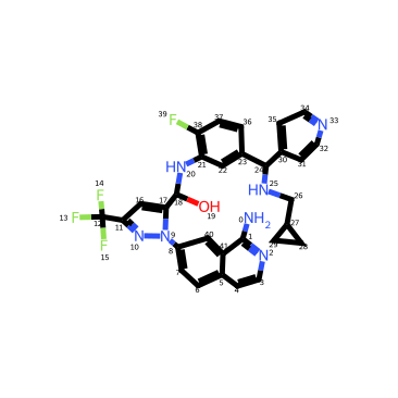 Nc1nccc2ccc(-n3nc(C(F)(F)F)cc3C(O)Nc3cc(C(NCC4CC4)c4ccncc4)ccc3F)cc12